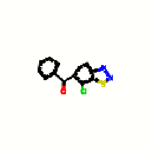 O=C(c1ccccc1)c1ccc2nnsc2c1Cl